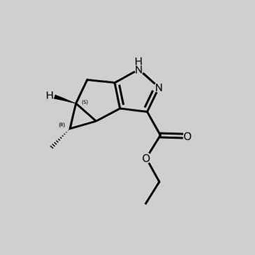 CCOC(=O)c1n[nH]c2c1C1[C@@H](C2)[C@H]1C